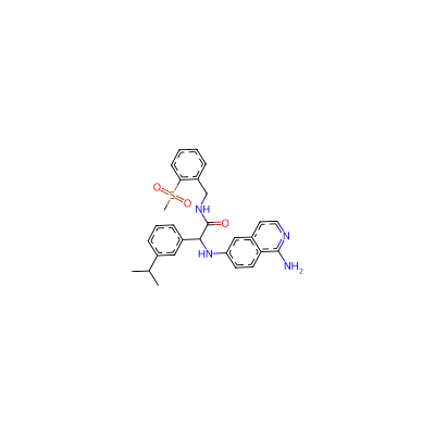 CC(C)c1cccc(C(Nc2ccc3c(N)nccc3c2)C(=O)NCc2ccccc2S(C)(=O)=O)c1